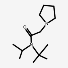 CC(C)N(C(=O)CN1CCCC1)C(C)(C)C